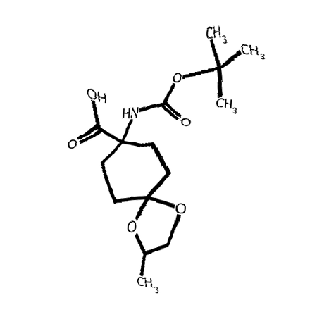 CC1COC2(CCC(NC(=O)OC(C)(C)C)(C(=O)O)CC2)O1